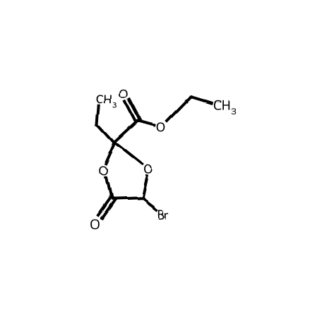 CCOC(=O)C1(CC)OC(=O)C(Br)O1